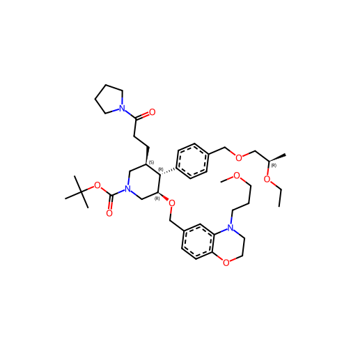 CCO[C@H](C)COCc1ccc([C@H]2[C@H](CCC(=O)N3CCCC3)CN(C(=O)OC(C)(C)C)C[C@@H]2OCc2ccc3c(c2)N(CCCOC)CCO3)cc1